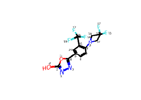 Oc1nnc(-c2ccc(N3CC(F)(F)C3)c(C(F)(F)F)c2)o1